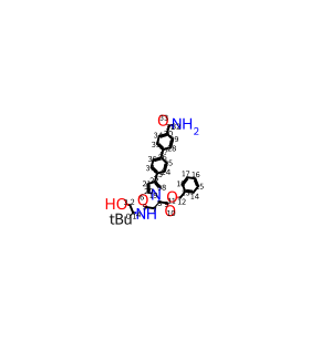 CC(C)(C)[C@@H](CO)NC(=O)C[C@H](C(=O)OCc1ccccc1)n1ccc(-c2ccc(-c3ccc(C(N)=O)cc3)cc2)c1